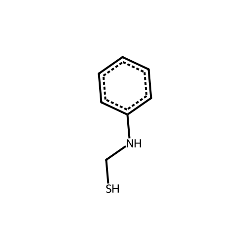 SCNc1ccccc1